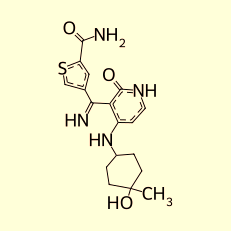 CC1(O)CCC(Nc2cc[nH]c(=O)c2C(=N)c2csc(C(N)=O)c2)CC1